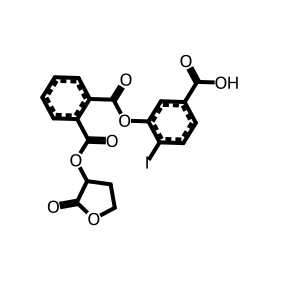 O=C(O)c1ccc(I)c(OC(=O)c2ccccc2C(=O)OC2CCOC2=O)c1